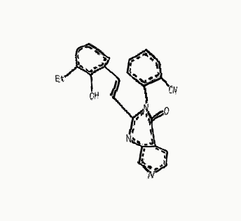 CCc1cccc(/C=C/c2nc3cnccc3c(=O)n2-c2ccccc2C#N)c1O